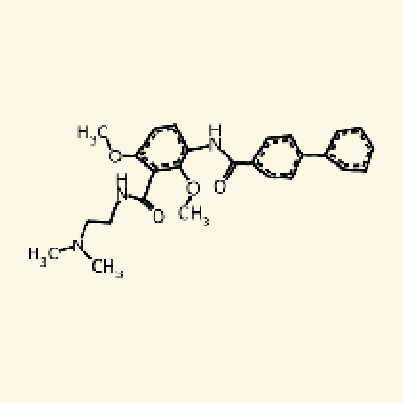 COc1ccc(NC(=O)c2ccc(-c3ccccc3)cc2)c(OC)c1C(=O)NCCN(C)C